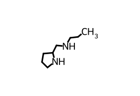 CCCNCC1CCCN1